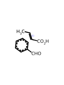 C/C=C/C(=O)O.O=Cc1ccccc1